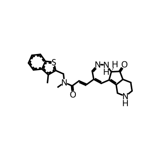 Cc1c(CN(C)C(=O)/C=C/C2=CC3=C4CNCCC4C(=O)[C@@H]3NN=C2)sc2ccccc12